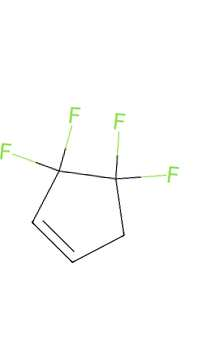 FC1(F)C=CCC1(F)F